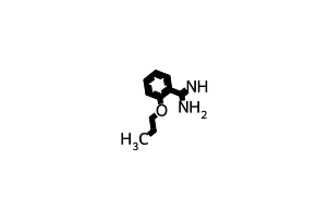 CCCOc1ccccc1C(=N)N